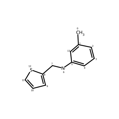 Cc1cccc([N]Cc2cccs2)c1